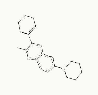 Cc1nc2ccc(N3CCCCC3)cc2cc1C1=CCCCC1